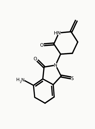 C=C1CCC(N2C(=O)C3=C(N)CCC=C3C2=S)C(=O)N1